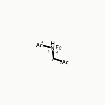 CC(=O)CNC(C)=O.[Fe]